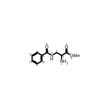 COC(=O)C(N)CNC(=O)c1ccccc1